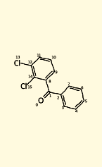 O=C(c1ccccc1)c1cccc(Cl)c1Cl